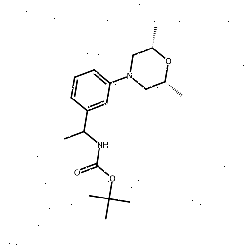 CC(NC(=O)OC(C)(C)C)c1cccc(N2C[C@@H](C)O[C@@H](C)C2)c1